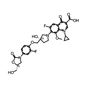 COc1c(N2CC[C@@](O)(COc3ccc(N4C[C@H](CO)OC4=O)cc3F)C2)c(F)cc2c(=O)c(C(=O)O)cn(C3CC3)c12